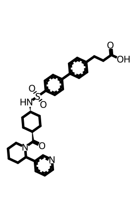 O=C(O)CCc1ccc(-c2ccc(S(=O)(=O)N[C@H]3CC[C@H](C(=O)N4CCCCC4c4cccnc4)CC3)cc2)cc1